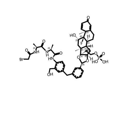 C[C@H](NC(=O)CBr)C(=O)N[C@@H](C)C(=O)Nc1ccc(Cc2cccc([C@@H]3O[C@@H]4C[C@H]5[C@@H]6CCC7=CC(=O)C=C[C@]7(C)[C@@]6(F)[C@@H](O)C[C@]5(C)[C@]4(C(=O)COP(=O)(O)O)O3)c2)cc1CO